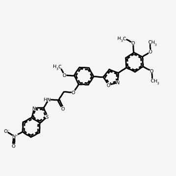 COc1ccc(-c2cc(-c3cc(OC)c(OC)c(OC)c3)no2)cc1OCC(=O)Nc1nc2cc([N+](=O)[O-])ccc2s1